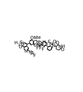 COc1cc(-c2cn(C)c(=O)c3cnc(N4CC(F)C4)cc23)cc(OC)c1CN1Cc2ccc(-c3cccc4c3n(C)c(=O)n4C3CCC(=O)NC3=O)c(F)c2C(F)(F)C1